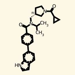 CC(C)N(C[C@@H]1CCN(C(=O)C2CC2)C1)C(=O)c1ccc(-c2ccc3cc[nH]c3c2)cc1